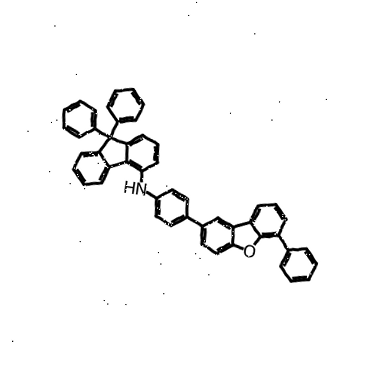 c1ccc(-c2cccc3c2oc2ccc(-c4ccc(Nc5cccc6c5-c5ccccc5C6(c5ccccc5)c5ccccc5)cc4)cc23)cc1